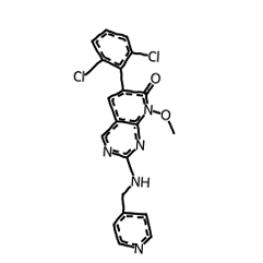 COn1c(=O)c(-c2c(Cl)cccc2Cl)cc2cnc(NCc3ccncc3)nc21